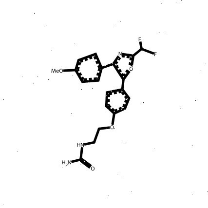 COc1ccc(-c2nc(C(F)F)oc2-c2ccc(OCCNC(N)=O)cc2)cc1